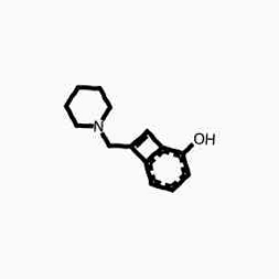 Oc1cccc2c1C=C2CN1CCCCC1